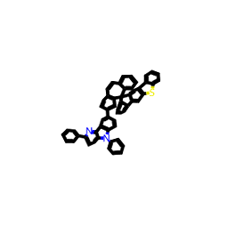 C1=Cc2ccc(-c3ccc4c(c3)c3nc(-c5ccccc5)ccc3n4-c3ccccc3)cc2C2(c3ccccc31)c1ccccc1-c1cc3sc4ccccc4c3cc12